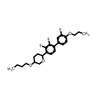 CCCCOC1CCC(c2ccc(-c3ccc(OCCC)c(F)c3)c(F)c2F)OC1